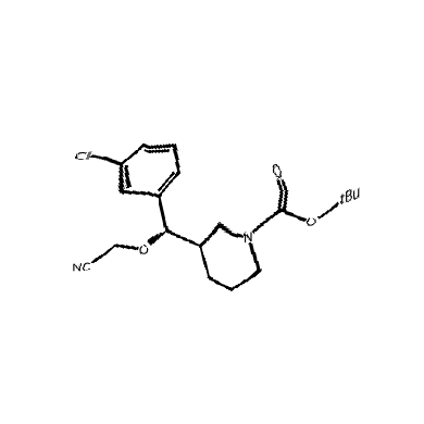 CC(C)(C)OC(=O)N1CCCC([C@@H](OCC#N)c2cccc(Cl)c2)C1